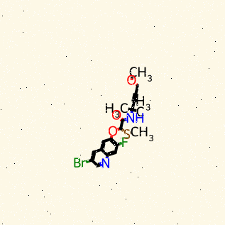 COCC#CC(C)(C)NC(=O)C(Oc1cc2cc(Br)cnc2cc1F)SC